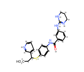 O=C(O)CC(Sc1ccc(NC(=O)c2cccc(NC3=NCCCN3)c2)cc1)c1cccnc1